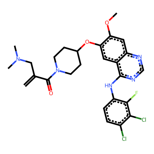 C=C(CN(C)C)C(=O)N1CCC(Oc2cc3c(Nc4ccc(Cl)c(Cl)c4F)ncnc3cc2OC)CC1